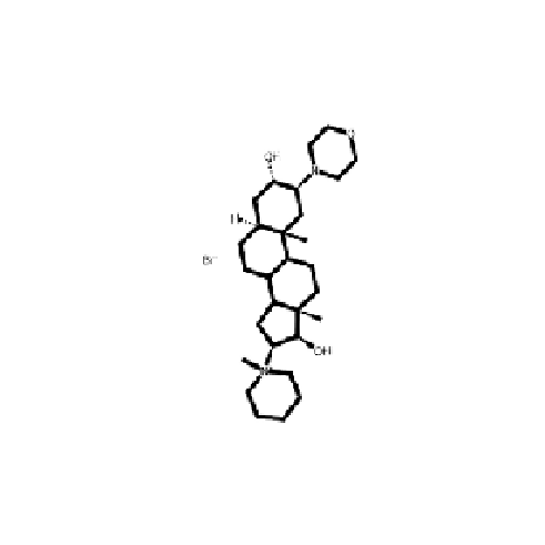 C[C@]12CCC3C(CC[C@H]4C[C@H](O)[C@@H](N5CCOCC5)C[C@]34C)C1C[C@H]([N+]1(C)CCCCC1)[C@@H]2O.[Br-]